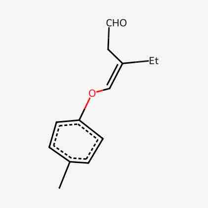 CCC(=COc1ccc(C)cc1)CC=O